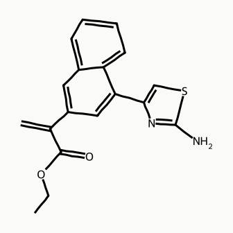 C=C(C(=O)OCC)c1cc(-c2csc(N)n2)c2ccccc2c1